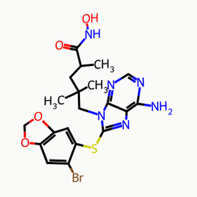 CC(CC(C)(C)Cn1c(Sc2cc3c(cc2Br)OCO3)nc2c(N)ncnc21)C(=O)NO